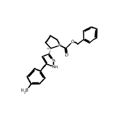 Bc1ccc(-c2cc([C@@H]3CCCN3C(=O)OCc3ccccc3)n[nH]2)cc1